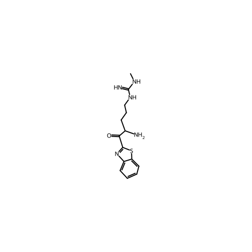 CNC(=N)NCCCC(N)C(=O)c1nc2ccccc2s1